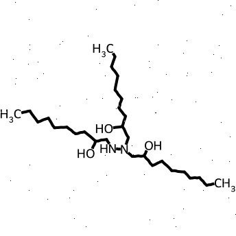 CCCCCCCCC(O)CNN(CC(O)CCCCCCCC)CC(O)CCCCCCCC